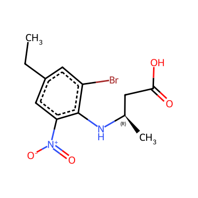 CCc1cc(Br)c(N[C@H](C)CC(=O)O)c([N+](=O)[O-])c1